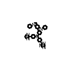 c1ccc(-n2ccc3cc4c(cc32)c2cc(N(c3ccc(-c5ncccn5)cc3)c3ccc(-c5ncncn5)cc3)ccc2n4-c2ccccc2)cc1